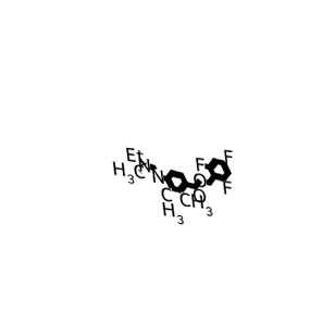 CCN(C)/C=N/c1ccc(C(=O)OCc2c(F)cc(F)cc2F)c(C)c1C